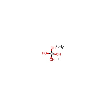 O[Si](O)(O)O.[PbH2].[Ti]